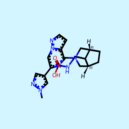 Cn1cc(-c2cn3nccc3c(N3C[C@H]4CC[C@@H](C3)C4CNC(=O)O)n2)cn1